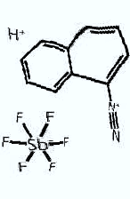 N#[N+]c1cccc2ccccc12.[F][Sb-]([F])([F])([F])([F])[F].[H+]